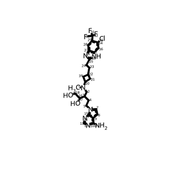 CN(CC(CCn1ccc2c(N)ncnc21)[C@@H](O)CO)C1CC(CCc2nc3cc(C(F)(F)F)c(Cl)cc3[nH]2)C1